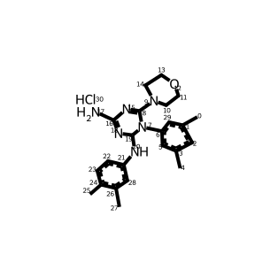 Cc1cc(C)cc(N2C(N3CCOCC3)=NC(N)=NC2Nc2ccc(C)c(C)c2)c1.Cl